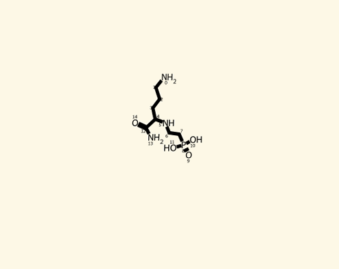 NCCCC(NCCP(=O)(O)O)C(N)=O